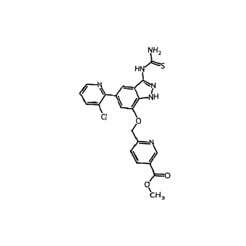 COC(=O)c1ccc(COc2cc(-c3ncccc3Cl)cc3c(NC(N)=S)n[nH]c23)nc1